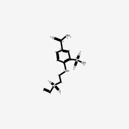 C=CS(=O)(=O)CCNc1ccc(C(N)=O)cc1S(=O)(=O)O